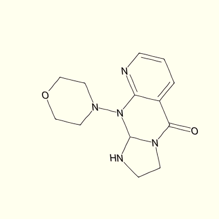 O=C1c2cccnc2N(N2CCOCC2)C2NCCN12